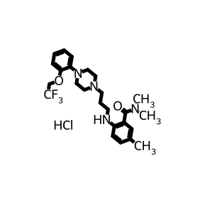 Cc1ccc(NCCCN2CCN(c3ccccc3OCC(F)(F)F)CC2)c(C(=O)N(C)C)c1.Cl